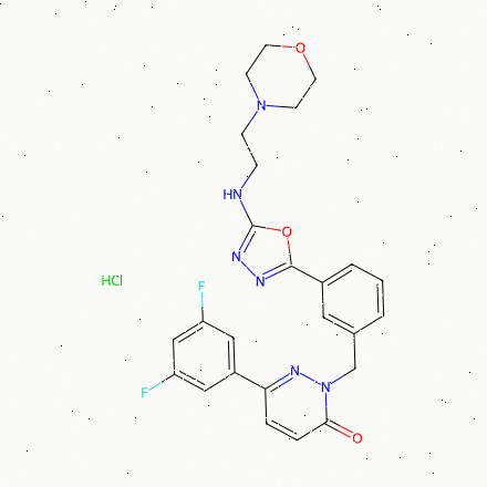 Cl.O=c1ccc(-c2cc(F)cc(F)c2)nn1Cc1cccc(-c2nnc(NCCN3CCOCC3)o2)c1